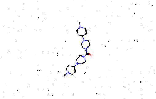 CN1CCC(N2CCN(C(=O)N3CCN(C4CCN(C)CC4)CC3)CC2)CC1